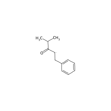 CC(C)C(=O)[CH]Cc1ccccc1